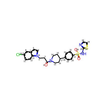 O=C(CCn1ccc2cc(Cl)ccc21)N1CCC(c2ccc(S(=O)(=O)Nc3nccs3)cc2)CC1